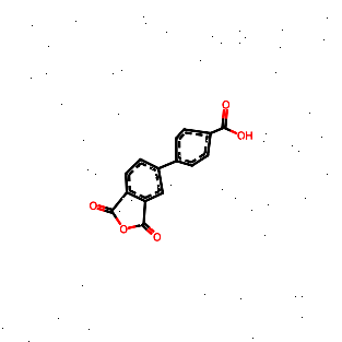 O=C(O)c1ccc(-c2ccc3c(c2)C(=O)OC3=O)cc1